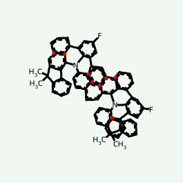 CC1(C)c2ccccc2-c2c(N(c3c(-c4ccccc4)cc(F)cc3-c3ccccc3)c3ccc4ccc5c(N(c6cccc7c6-c6ccccc6C7(C)C)c6c(-c7ccccc7)cc(F)cc6-c6ccccc6)ccc6ccc3c4c65)cccc21